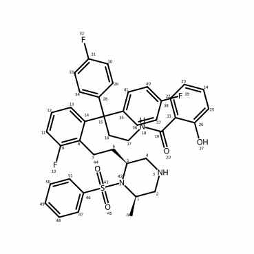 C[C@@H]1CNC[C@H](CCc2c(F)cccc2C(CCNC(=O)c2ccccc2O)(c2ccc(F)cc2)c2ccc(F)cc2)N1S(=O)(=O)c1ccccc1